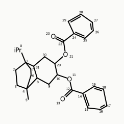 CC(C)C12CCC(C)(CC1)C1CC(OC(=O)c3ccccc3)C(OC(=O)c3ccccc3)CC12